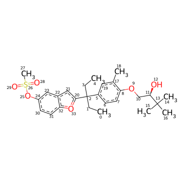 CCC(CC)(c1ccc(OC[C@@H](O)C(C)(C)C)c(C)c1)c1cc2cc(OS(C)(=O)=O)ccc2o1